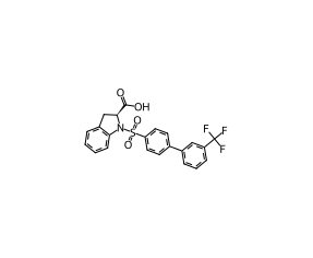 O=C(O)[C@@H]1Cc2ccccc2N1S(=O)(=O)c1ccc(-c2cccc(C(F)(F)F)c2)cc1